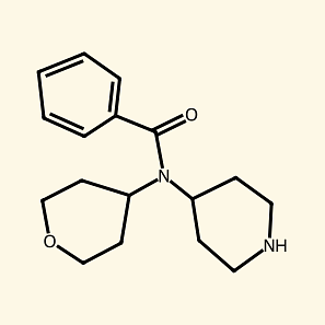 O=C(c1ccccc1)N(C1CCNCC1)C1CCOCC1